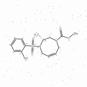 C[C@@H]1CN(C(=O)OC(C)(C)C)C/C=C\CN1S(=O)(=O)c1ccccc1N=O